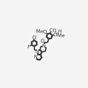 COc1cc(CC(=O)N2CCc3c(n(Cc4ccc(Cl)cc4F)c4ncccc34)C2)cc(OC)c1C(=O)O